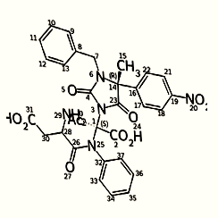 CC(=O)[C@@](C(=O)O)(N1C(=O)N(Cc2ccccc2)[C@](C)(c2ccc([N+](=O)[O-])cc2)C1=O)N(C(=O)C(N)CC(=O)O)c1ccccc1